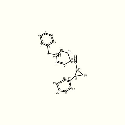 C1=C[SH](Cc2ccccc2)CCC1NC1CC1c1ccccc1